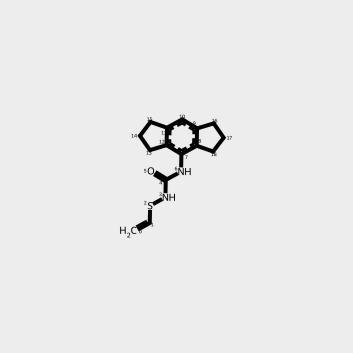 C=CSNC(=O)Nc1c2c(cc3c1CCC3)CCC2